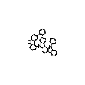 C1=CC2C(c3ccccc3N2c2cccc3oc4ccc(-c5ccccc5)cc4c23)c2c1c1ccccc1n2-c1ccccc1